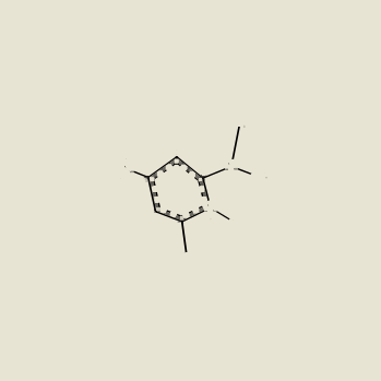 Cc1cc([N+](=O)[O-])cc(N(C)C(C)(C)C)[n+]1[O-]